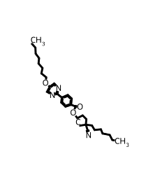 CCCCCCCCCOc1cnc(-c2ccc(C(=O)OC3CCC(C#N)(CCCCCCC)CC3)cc2)nc1